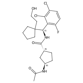 CC(=O)N[C@@H]1CC[C@@H](C(=O)N[C@H](c2c(F)ccc(Cl)c2Cl)C2(CCO)CCCC2)C1